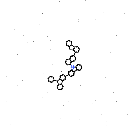 c1ccc(C2c3ccccc3-c3cc(-c4ccc5c6ccccc6n(-c6cccc7cc(-c8cccc9c8Cc8ccccc8-9)ccc67)c5c4)ccc32)cc1